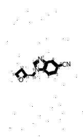 N#Cc1ccc2c(c1)ncn2C[C@@H]1CCO1